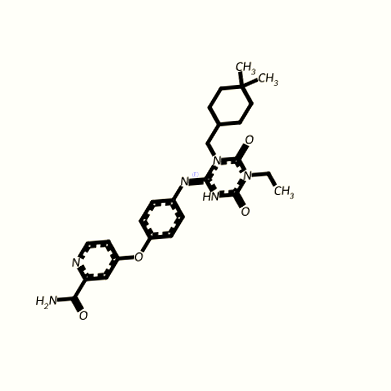 CCn1c(=O)[nH]/c(=N\c2ccc(Oc3ccnc(C(N)=O)c3)cc2)n(CC2CCC(C)(C)CC2)c1=O